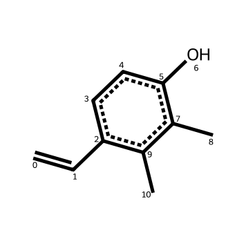 C=Cc1ccc(O)c(C)c1C